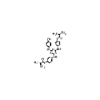 C=C(C)C(=O)Oc1ccc(Nc2nc(Nc3ccc(O)cc3)nc(Nc3ccc(OC(=O)C(=C)C)cc3)n2)cc1